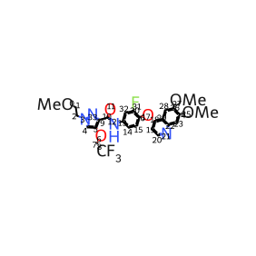 COCCn1cc(OCC(F)(F)F)c(C(=O)Nc2ccc(Oc3ccnc4cc(OC)c(OC)cc34)c(F)c2)n1